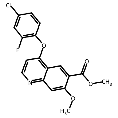 COC(=O)c1cc2c(Oc3ccc(Cl)cc3F)ccnc2cc1OC